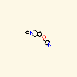 C1=CC(N2CCc3ccc(OCc4ccncc4)cc3CC2)=C1